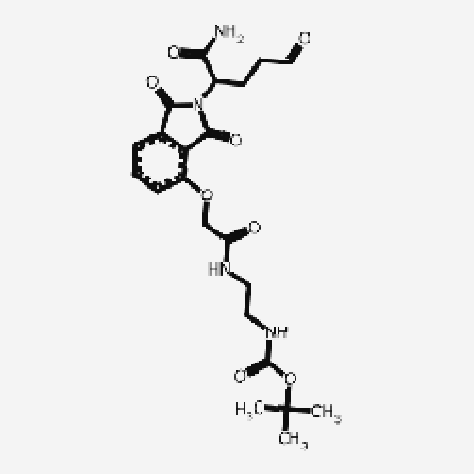 CC(C)(C)OC(=O)NCCNC(=O)COc1cccc2c1C(=O)N(C(CCC=O)C(N)=O)C2=O